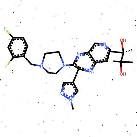 Cn1cc(-c2nc3cc([C@@](C)(O)C(C)(C)O)ncc3nc2N2CCN(Cc3ccc(F)cc3F)CC2)cn1